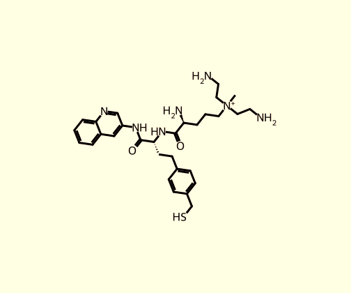 C[N+](CCN)(CCN)CCC[C@H](N)C(=O)N[C@H](CCc1ccc(CS)cc1)C(=O)Nc1cnc2ccccc2c1